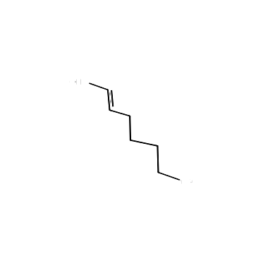 CCCCCCCCC=C[C]=O